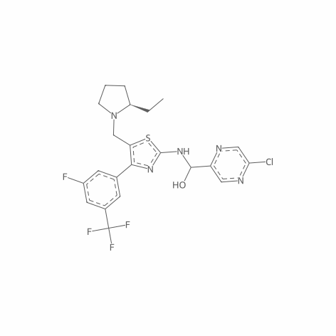 CC[C@@H]1CCCN1Cc1sc(NC(O)c2cnc(Cl)cn2)nc1-c1cc(F)cc(C(F)(F)F)c1